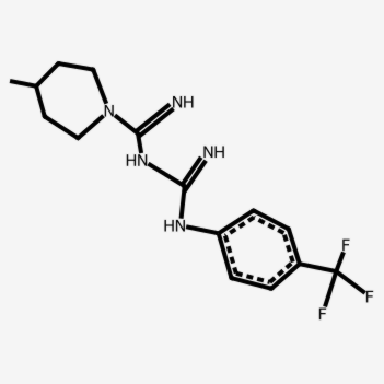 CC1CCN(C(=N)NC(=N)Nc2ccc(C(F)(F)F)cc2)CC1